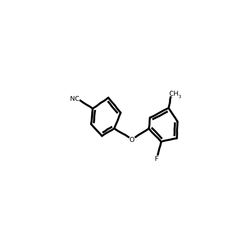 Cc1ccc(F)c(Oc2ccc(C#N)cc2)c1